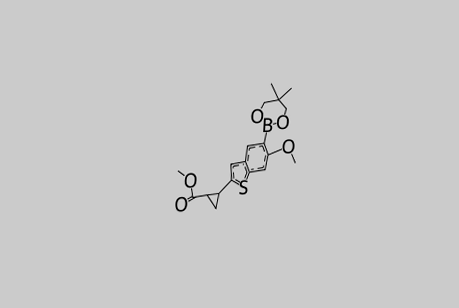 COC(=O)C1CC1c1cc2cc(B3OCC(C)(C)CO3)c(OC)cc2s1